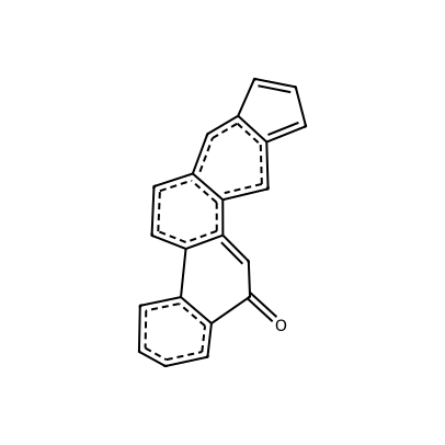 O=C1C=c2c(ccc3cc4c(cc23)=CC=C4)-c2ccccc21